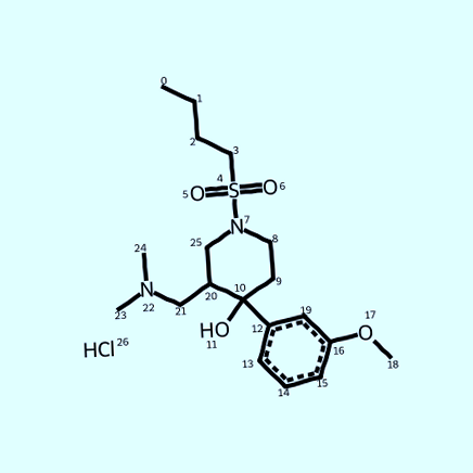 CCCCS(=O)(=O)N1CCC(O)(c2cccc(OC)c2)C(CN(C)C)C1.Cl